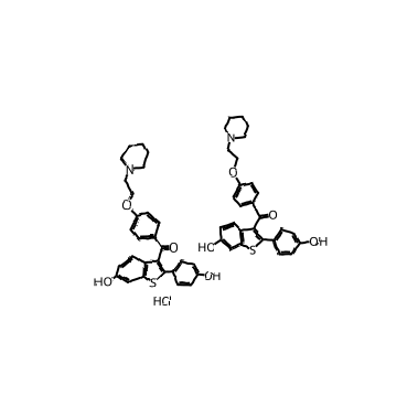 Cl.O=C(c1ccc(OCCN2CCCCC2)cc1)c1c(-c2ccc(O)cc2)sc2cc(O)ccc12.O=C(c1ccc(OCCN2CCCCC2)cc1)c1c(-c2ccc(O)cc2)sc2cc(O)ccc12